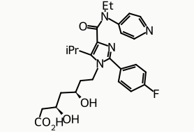 CCN(C(=O)c1nc(-c2ccc(F)cc2)n(CC[C@@H](O)C[C@@H](O)CC(=O)O)c1C(C)C)c1ccncc1